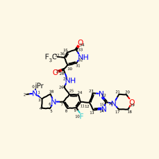 CC(C)N(C)[C@@H]1CCN(c2cc(F)c(-c3cnc(N4CCOCC4)nc3)cc2CNC(=O)c2c[nH]c(=O)cc2C(F)(F)F)C1